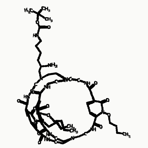 CCCCOn1c2ccc(c1=O)C(=O)NCCN1CCNC(=O)c3ccc(n(OCCCC)c3=O)C(=O)NCCN(CCNC2=O)CCNC(=O)c2ccc(c(=O)n2OCCCC)C(=O)NCCN(CC(N)CCCCNC(=O)OC(C)(C)C)CC1